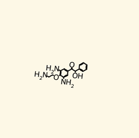 NCCOc1c(N)cc(C(=O)C(O)c2ccccc2)cc1N